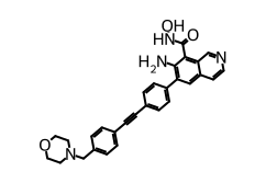 Nc1c(-c2ccc(C#Cc3ccc(CN4CCOCC4)cc3)cc2)cc2ccncc2c1C(=O)NO